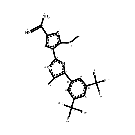 CSc1sc(C(=N)N)cc1-c1nc(-c2cc(C(F)(F)F)cc(C(F)(F)F)c2)c(C)s1